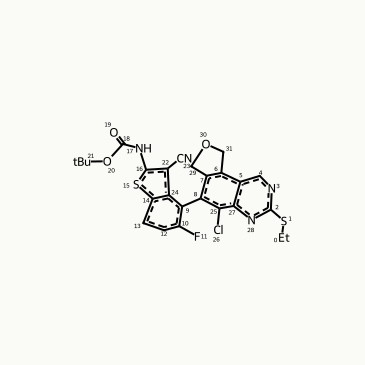 CCSc1ncc2c3c(c(-c4c(F)ccc5sc(NC(=O)OC(C)(C)C)c(C#N)c45)c(Cl)c2n1)COC3